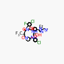 CCn1c(-c2ccc(Oc3cc(Cl)cc(F)c3CN3C(=O)C[C@@H](CC(F)(F)F)C(=O)N4CCC[C@@](Cc5ccc(Cl)cc5)(C4)NC(=O)[C@H](CO)NC(=O)[C@@H]3C)cc2)cnc1CN(C)C